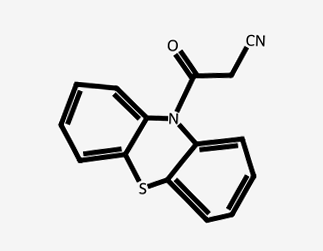 N#CCC(=O)N1c2ccccc2Sc2ccccc21